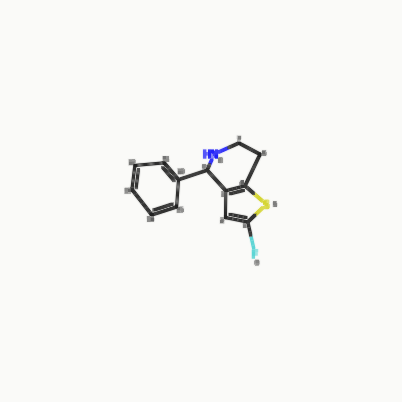 Fc1cc2c(s1)CCNC2c1ccccc1